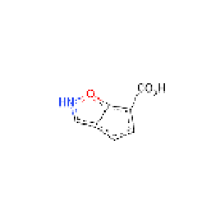 O=C(O)c1ccc2c[nH]oc1-2